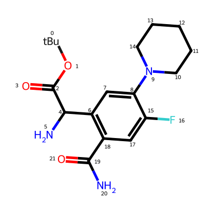 CC(C)(C)OC(=O)C(N)c1cc(N2CCCCC2)c(F)cc1C(N)=O